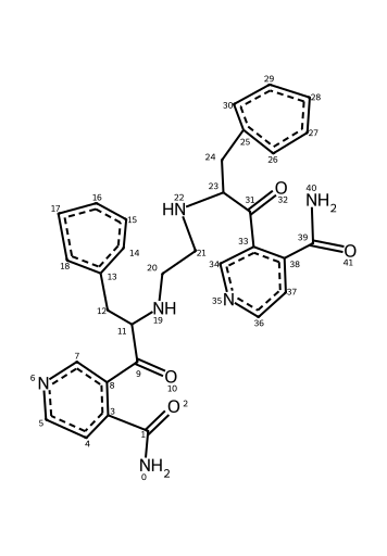 NC(=O)c1ccncc1C(=O)C(Cc1ccccc1)NCCNC(Cc1ccccc1)C(=O)c1cnccc1C(N)=O